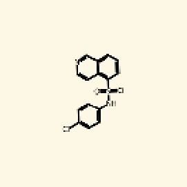 O=S(=O)(Nc1ccc(Cl)cc1)c1cccc2cnccc12